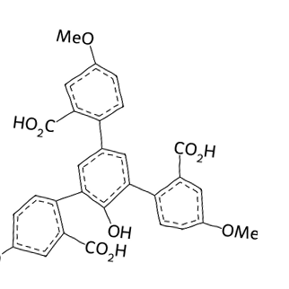 COc1ccc(-c2cc(-c3ccc(OC)cc3C(=O)O)c(O)c(-c3ccc(OC)cc3C(=O)O)c2)c(C(=O)O)c1